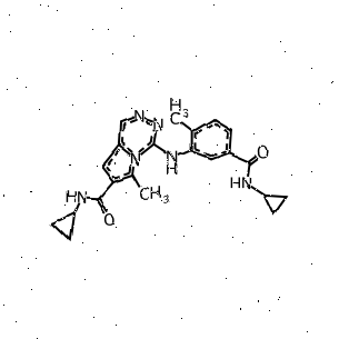 Cc1ccc(C(=O)NC2CC2)cc1Nc1nncc2cc(C(=O)NC3CC3)c(C)n12